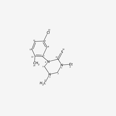 CCN1CN(C)CN(c2cc(Cl)ccc2C)C1=S